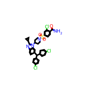 NC(=O)c1ccc(S(=O)(=O)N2CCC(n3c(C4CC4)nc4ccc(C(c5ccc(Cl)cc5)c5ccc(Cl)cc5)cc43)CC2)cc1Cl